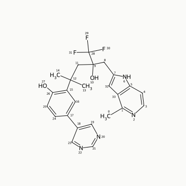 Cc1nccc2[nH]c(CC(O)(CC(C)(C)c3cc(-c4cncnc4)ccc3O)C(F)(F)F)cc12